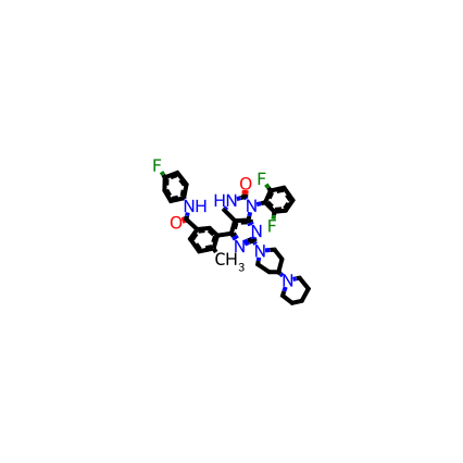 Cc1ccc(C(=O)Nc2ccc(F)cc2)cc1-c1nc(N2CCC(N3CCCCC3)CC2)nc2c1CNC(=O)N2c1c(F)cccc1F